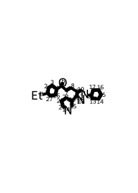 CCc1ccc(C(=O)C=Cc2cn(-c3ccccc3)nc2-c2cccnc2)cc1